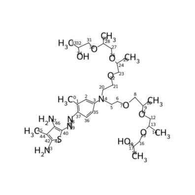 Cc1cc(N(CCOCC(C)OCC(C)OCC(C)O)CCOCC(C)OCC(C)OCC(C)O)ccc1/N=N/c1sc(N)c(C)c1N